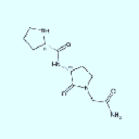 NC(=O)CN1CC[C@@H](NC(=O)[C@@H]2CCCN2)C1=O